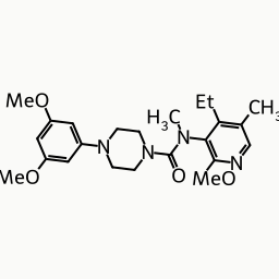 CCc1c(C)cnc(OC)c1N(C)C(=O)N1CCN(c2cc(OC)cc(OC)c2)CC1